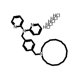 Cl.Cl.Cl.Cl.Cl.c1ccc(N(Cc2ccc(CN3CCCCCCCCCCCCC3)cc2)c2ccccn2)nc1